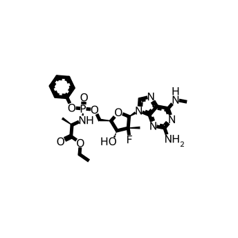 CCOC(=O)[C@@H](C)N[P@](=O)(OC[C@H]1O[C@@H](n2cnc3c(NC)nc(N)nc32)[C@](C)(F)[C@@H]1O)Oc1ccccc1